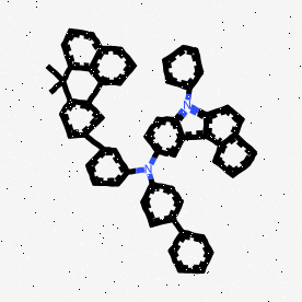 CC1(C)c2ccc(-c3cccc(N(c4ccc(-c5ccccc5)cc4)c4ccc5c(c4)c4c6ccccc6ccc4n5-c4ccccc4)c3)cc2-c2cccc3cccc1c23